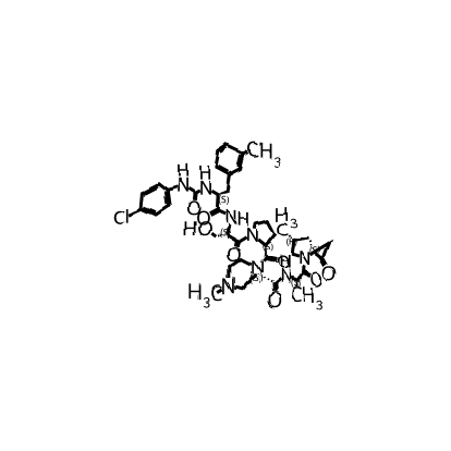 Cc1cccc(C[C@H](NC(=O)Nc2ccc(Cl)cc2)C(=O)N[C@@H](CO)C(=O)N2CCC[C@H]2C(=O)N2CCN(C)C[C@H]2C(=O)N[C@@H](C)C(=O)N2C[C@H](C)C[C@@]23CC3=O)c1